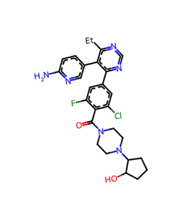 CCc1ncnc(-c2cc(F)c(C(=O)N3CCN(C4CCCC4O)CC3)c(Cl)c2)c1-c1ccc(N)nc1